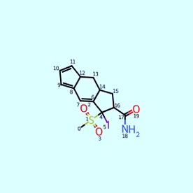 CS(=O)(=O)C1(I)C2=CC3=CC=CC3CC2CC1C(N)=O